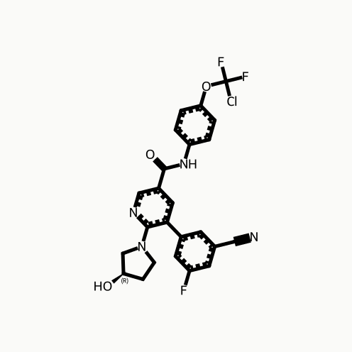 N#Cc1cc(F)cc(-c2cc(C(=O)Nc3ccc(OC(F)(F)Cl)cc3)cnc2N2CC[C@@H](O)C2)c1